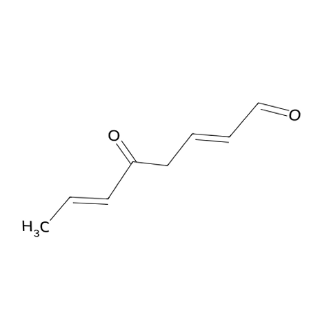 CC=CC(=O)CC=CC=O